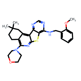 COc1ccccc1CNc1ncnc2c1sc1nc(N3CCOCC3)c3c(c12)CC(C)(C)CC3